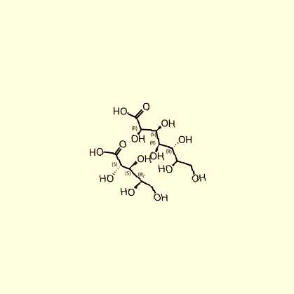 O=C(O)[C@@H](O)[C@@H](O)[C@H](O)CO.O=C(O)[C@H](O)[C@@H](O)[C@H](O)[C@H](O)C(O)CO